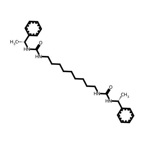 C[C@@H](NC(=O)NCCCCCCCCCNC(=O)N[C@H](C)c1ccccc1)c1ccccc1